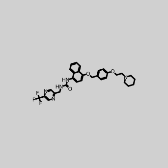 O=C(NCc1cnc(C(F)(F)F)cn1)Nc1ccc(OCc2ccc(OCCN3CCCCC3)cc2)c2ccccc12